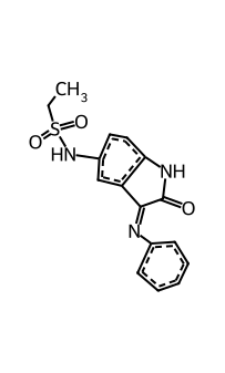 CCS(=O)(=O)Nc1ccc2c(c1)/C(=N/c1ccccc1)C(=O)N2